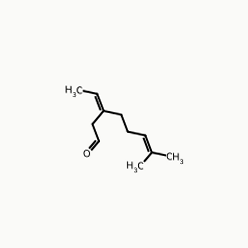 C/C=C(\CC=O)CCC=C(C)C